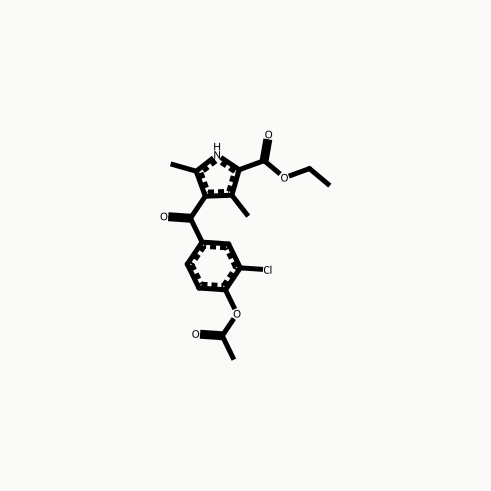 CCOC(=O)c1[nH]c(C)c(C(=O)c2ccc(OC(C)=O)c(Cl)c2)c1C